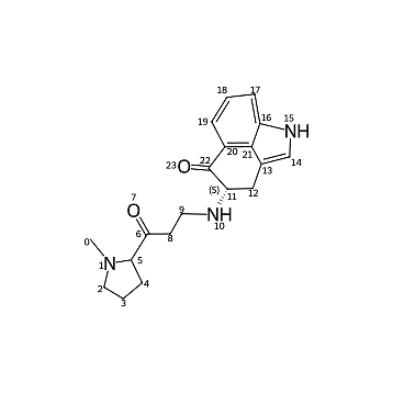 CN1CCCC1C(=O)CCN[C@H]1Cc2c[nH]c3cccc(c23)C1=O